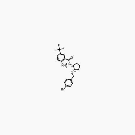 Nc1ncc(C(F)(F)F)cc1C(=O)N[C@H]1CCC[C@@H]1OCc1ccc(Br)cc1